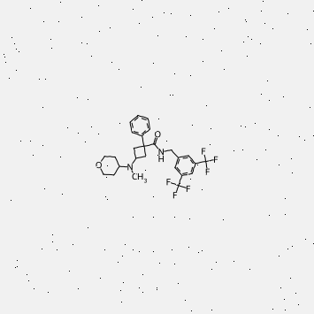 CN(C1CCOCC1)C1CC(C(=O)NCc2cc(C(F)(F)F)cc(C(F)(F)F)c2)(c2ccccc2)C1